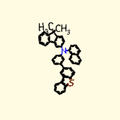 CC1(C)c2ccccc2-c2cc(N(c3cccc(-c4ccc5sc6ccccc6c5c4)c3)c3cccc4ccccc34)ccc21